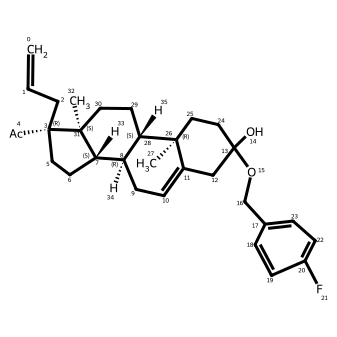 C=CC[C@]1(C(C)=O)CC[C@H]2[C@@H]3CC=C4CC(O)(OCc5ccc(F)cc5)CC[C@]4(C)[C@H]3CC[C@@]21C